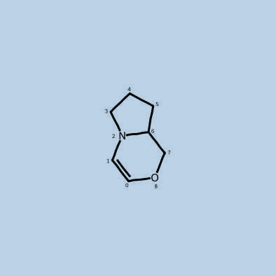 C1=CN2CCCC2CO1